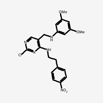 COc1cc(NCc2cnc(Cl)nc2NCCc2ccc([N+](=O)[O-])cc2)cc(OC)c1